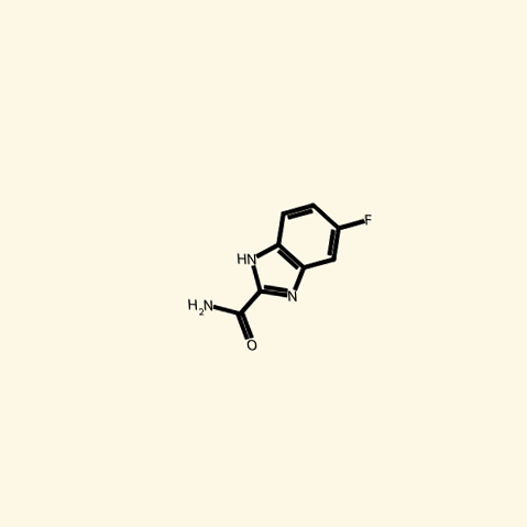 NC(=O)c1nc2cc(F)ccc2[nH]1